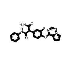 NC(=O)C(C(=O)Nc1ccccc1)c1ccc(Oc2ncnn3cccc23)c(F)c1